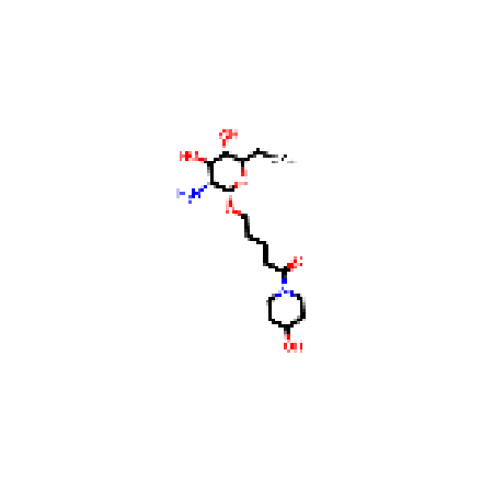 CC(=O)OCC1O[C@@H](OCCCCC(=O)N2CCC(O)CC2)[C@@H](N)C(O)[C@H]1O